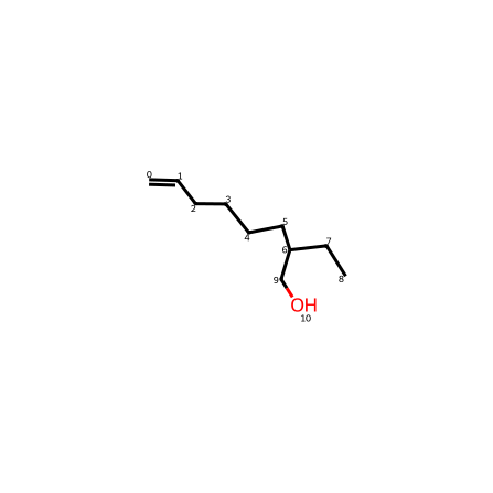 C=CCCCCC(CC)CO